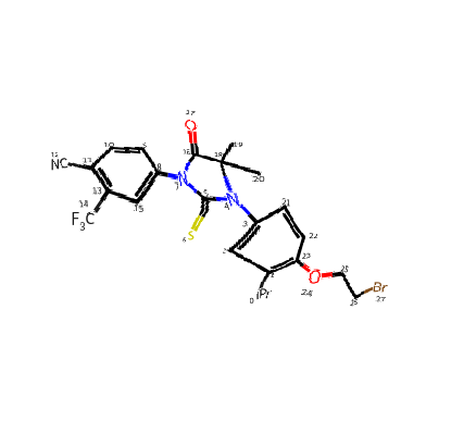 CC(C)c1cc(N2C(=S)N(c3ccc(C#N)c(C(F)(F)F)c3)C(=O)C2(C)C)ccc1OCCBr